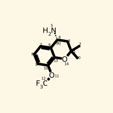 CC1(C)C[C@@H](N)c2cccc(OC(F)(F)F)c2O1